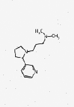 CN(C)CCCN1CCCC1c1cccnc1